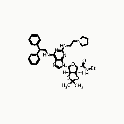 CCNC(=O)[C@H]1O[C@@H](n2cnc3c(NCC(c4ccccc4)c4ccccc4)nc(NCCN4CCCC4)nc32)[C@@H]2OC(C)(C)O[C@@H]21